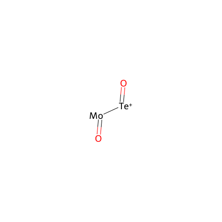 [O]=[Mo][Te+]=O